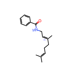 CC(C)=CCC/C(C)=C/CNC(=O)c1ccccc1